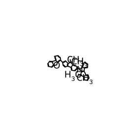 CC1(C)c2cc(-c3cccc4c3oc3ccccc34)ccc2-c2ccc(-n3c4c(c5ccccc53)-c3ccccc3C4(C)C)cc21